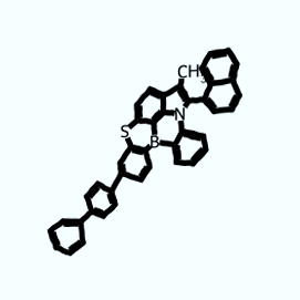 Cc1c(-c2cccc3ccccc23)n2c3c4c(ccc13)Sc1cc(-c3ccc(-c5ccccc5)cc3)ccc1B4c1ccccc1-2